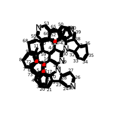 Cc1cccc2c3cccc(C)c3n(-c3c(-n4c5ccccc5c5cnccc54)nc(-n4c5ccccc5c5cnccc54)c(-n4c5ccccc5c5cnccc54)c3-c3c(-c4ccccc4)cccc3-c3ccccc3)c12